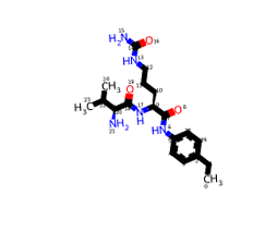 CCc1ccc(NC(=O)[C@H](CCCNC(N)=O)NC(=O)[C@@H](N)C(C)C)cc1